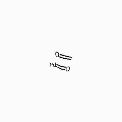 C=O.[O]=[Pd]